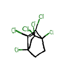 ClC1=C(Cl)C2(Cl)CCC1(Cl)C2(Cl)Cl